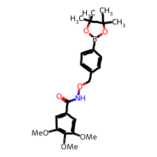 COc1cc(C(=O)NOCc2ccc(B3OC(C)(C)C(C)(C)O3)cc2)cc(OC)c1OC